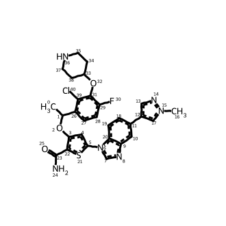 CC(Oc1cc(-n2cnc3cc(-c4cnn(C)c4)ccc32)sc1C(N)=O)c1ccc(F)c(OC2CCNCC2)c1Cl